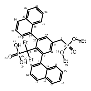 CCOP(=O)(Cc1cc(-c2cccc3ccccc23)c(C(CC)(CC)P(=O)(O)O)c(-c2cccc3ccccc23)c1)OCC